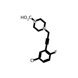 O=C(O)N1CCN(CC#Cc2cc(Cl)ccc2F)CC1